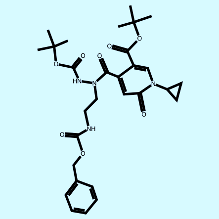 CC(C)(C)OC(=O)NN(CCNC(=O)OCc1ccccc1)C(=O)c1cc(=O)n(C2CC2)cc1C(=O)OC(C)(C)C